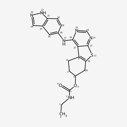 CCNC(=O)OC1CCc2c(sc3ncnc(Nc4ccc5[nH]ncc5c4)c23)C1